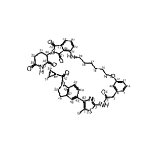 Cc1sc(NC(=O)Cc2cccc(OCCCCCCNc3cccc4c3C(=O)N(C3CCC(=O)NC3=O)C4=O)c2)nc1-c1ccc2c(c1)CCN2C(=O)C1CC1